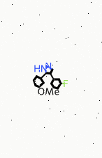 COc1cccc(-c2[nH]ncc2-c2cccc(F)c2)c1